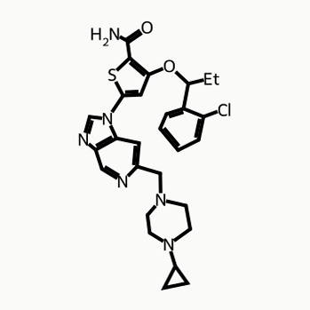 CCC(Oc1cc(-n2cnc3cnc(CN4CCN(C5CC5)CC4)cc32)sc1C(N)=O)c1ccccc1Cl